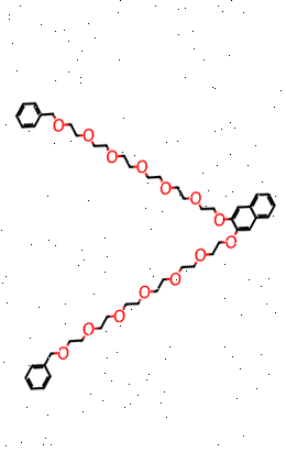 c1ccc(COCCOCCOCCOCCOCCOCCOc2cc3ccccc3cc2OCCOCCOCCOCCOCCOCCOCc2ccccc2)cc1